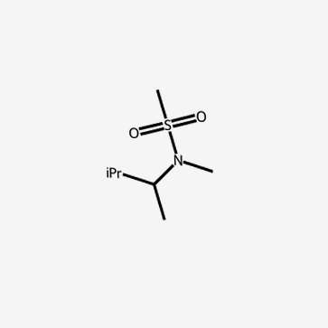 CC(C)C(C)N(C)S(C)(=O)=O